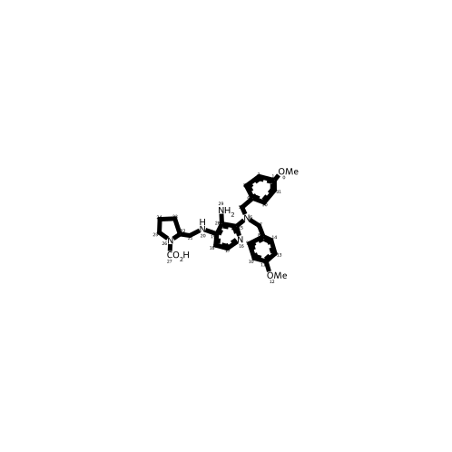 COc1ccc(CN(Cc2ccc(OC)cc2)c2nccc(NCC3CCCN3C(=O)O)c2N)cc1